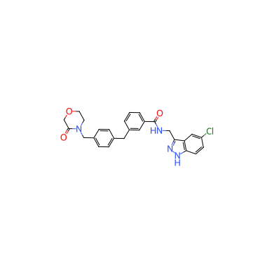 O=C(NCc1n[nH]c2ccc(Cl)cc12)c1cccc(Cc2ccc(CN3CCOCC3=O)cc2)c1